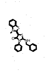 CN1C(=C2SC(NCc3ccccc3)N(c3ccccc3)C2=O)Sc2ccccc21